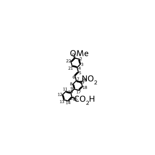 COc1ccc(C=Cc2cc(-c3ccccc3C(=O)O)ccc2[N+](=O)[O-])cc1